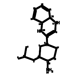 CC(C)CC1CN(C2=CNC3C=CC=CC3N2)CCN1N